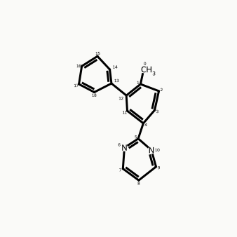 Cc1ccc(-c2ncccn2)cc1-c1ccccc1